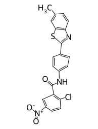 Cc1ccc2nc(-c3ccc(NC(=O)c4cc([N+](=O)[O-])ccc4Cl)cc3)sc2c1